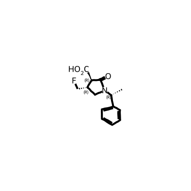 C[C@H](c1ccccc1)N1C[C@H](CF)[C@@H](C(=O)O)C1=O